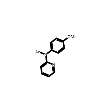 COc1ccc(N(C(C)=O)c2ccccn2)cc1